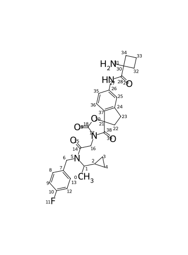 CC(C1CC1)N(Cc1ccc(F)cc1)C(=O)CN1C(=O)OC2(CCc3cc(NC(=O)C4(N)CCC4)ccc32)C1=O